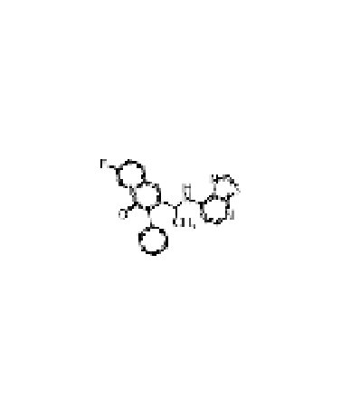 CC(Nc1ncnc2scnc12)c1cc2ccc(F)cn2c(=O)c1-c1ccccc1